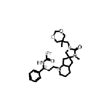 CC(C)C(=O)N[C@@H](CCN1CCCC2CC3(CC21)CN(CC1(C)COCOC1)C(=O)N3C)c1ccccc1